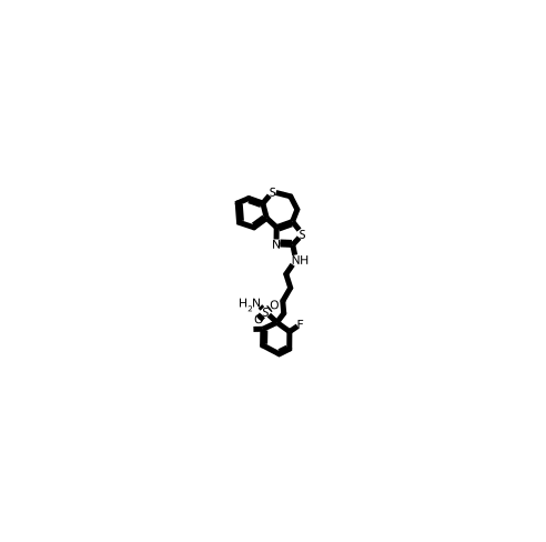 CC1=CC=CC(F)C1(CCCCNc1nc2c(s1)CCSc1ccccc1-2)S(N)(=O)=O